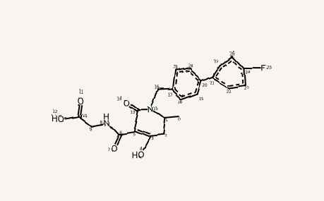 CC1CC(O)=C(C(=O)NCC(=O)O)C(=O)N1Cc1ccc(-c2ccc(F)cc2)cc1